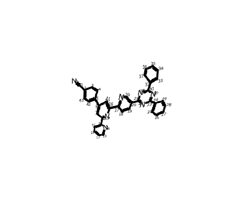 N#Cc1ccc(-c2cc(-c3ccccn3)nc(-c3ccc(-c4nc(-c5ccccc5)nc(-c5ccccc5)n4)cn3)c2)cc1